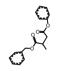 C[C](CC(=O)Oc1ccccc1)C(=O)OCc1ccccc1